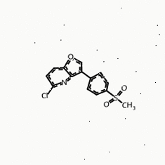 CS(=O)(=O)c1ccc(-c2coc3ccc(Cl)nc23)cc1